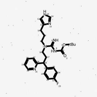 CC(C)(C)OC(=O)NC(=N)N(CCCc1c[nH]cn1)CCC(c1ccc(F)cc1)c1ccccn1